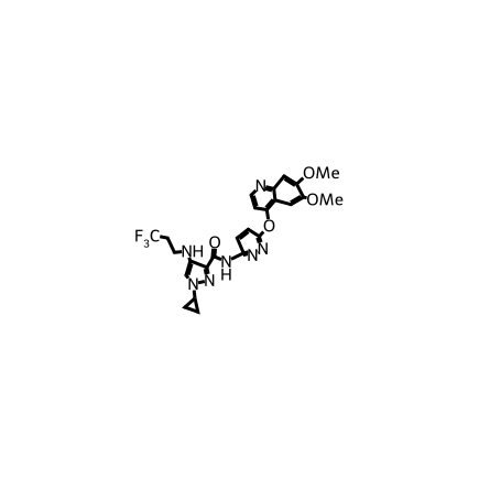 COc1cc2nccc(Oc3ccc(NC(=O)c4nn(C5CC5)cc4NCCC(F)(F)F)nn3)c2cc1OC